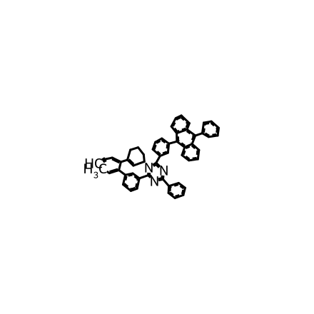 C#C/C=C(C1=CCCCC1)\C(=C/C)c1cccc(-c2nc(-c3ccccc3)nc(-c3cccc(-c4c5ccccc5c(-c5ccccc5)c5ccccc45)c3)n2)c1